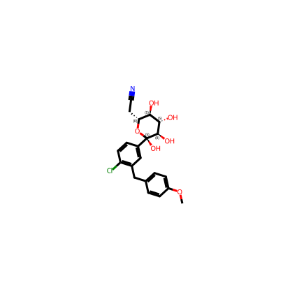 COc1ccc(Cc2cc([C@]3(O)O[C@H](CC#N)[C@@H](O)[C@H](O)[C@H]3O)ccc2Cl)cc1